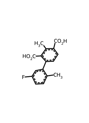 Cc1ccc(F)cc1-c1ccc(C(=O)O)c(C)c1C(=O)O